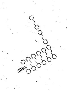 [S-2].[S-2].[S-2].[S-2].c1ccc(CCc2ccccc2)cc1.c1ccc(CCc2ccccc2)cc1.c1ccc(CCc2ccccc2)cc1.c1ccc(CCc2ccccc2)cc1.c1ccc(CCc2ccccc2)cc1.c1ccc(CCc2ccccc2)cc1.c1ccc(CCc2ccccc2)cc1.c1ccc(CCc2ccccc2)cc1